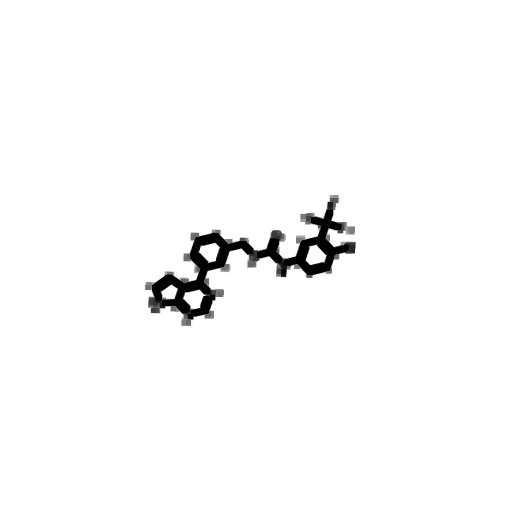 O=C(Nc1ccc(Cl)c(C(F)(F)F)c1)OCc1cccc(-c2ncnc3[nH]ccc23)c1